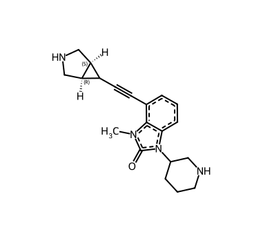 Cn1c(=O)n(C2CCCNC2)c2cccc(C#CC3[C@H]4CNC[C@@H]34)c21